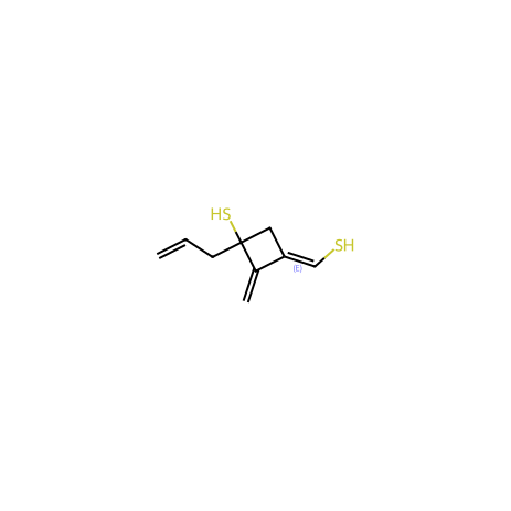 C=CCC1(S)C/C(=C\S)C1=C